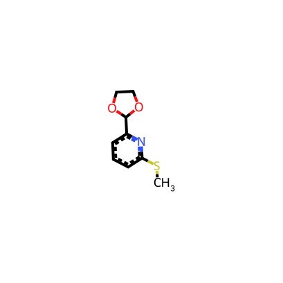 CSc1cccc(C2OCCO2)n1